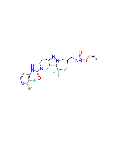 COC(=O)NC[C@H]1CCC(F)(F)c2c3c(nn2C1)CCN(C(=O)Nc1ccnc(Br)c1F)C3